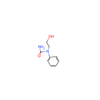 NC(=O)N(CCO)c1[c]cccc1